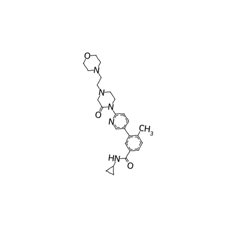 Cc1ccc(C(=O)NC2CC2)cc1-c1ccc(N2CCN(CCN3CCOCC3)CC2=O)nc1